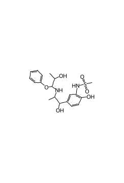 CC(O)C(NC(C)C(O)c1ccc(O)c(NS(C)(=O)=O)c1)Oc1ccccc1